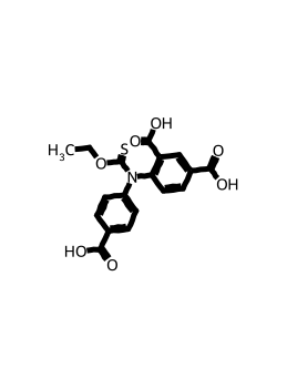 CCOC(=S)N(c1ccc(C(=O)O)cc1)c1ccc(C(=O)O)cc1C(=O)O